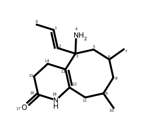 C/C=C/C1(N)CC(C)CC(C)CC2=C1CCC(=O)N2